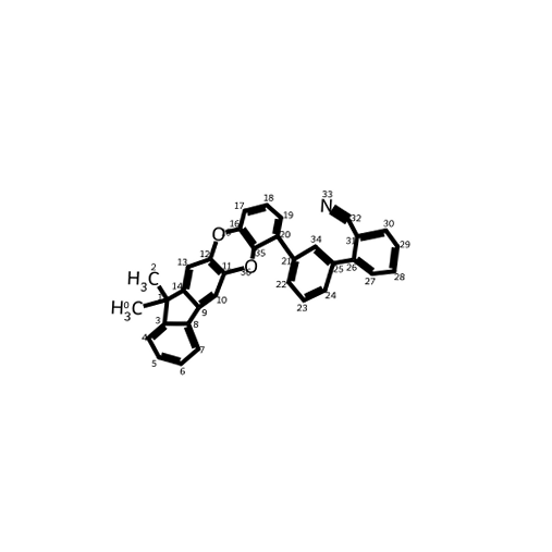 CC1(C)c2ccccc2-c2cc3c(cc21)Oc1cccc(-c2cccc(-c4ccccc4C#N)c2)c1O3